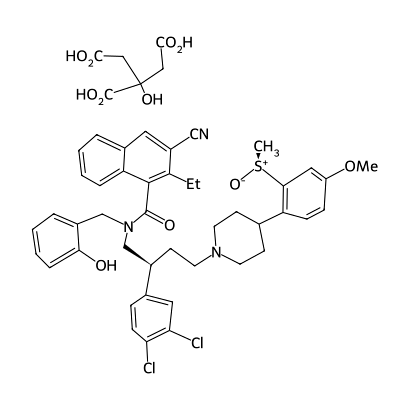 CCc1c(C#N)cc2ccccc2c1C(=O)N(Cc1ccccc1O)C[C@@H](CCN1CCC(c2ccc(OC)cc2[S@+](C)[O-])CC1)c1ccc(Cl)c(Cl)c1.O=C(O)CC(O)(CC(=O)O)C(=O)O